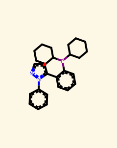 c1ccc(-n2nccc2-c2ccccc2P(C2CCCCC2)C2CCCCC2)cc1